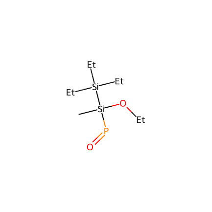 CCO[Si](C)(P=O)[Si](CC)(CC)CC